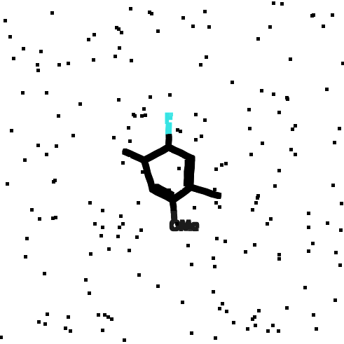 COC1=CC(C)C(F)C=C1C